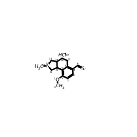 COc1ccc(C=S)c2c1C1CN(C)CC1CC2.Cl